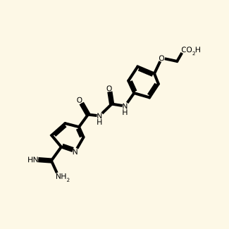 N=C(N)c1ccc(C(=O)NC(=O)Nc2ccc(OCC(=O)O)cc2)cn1